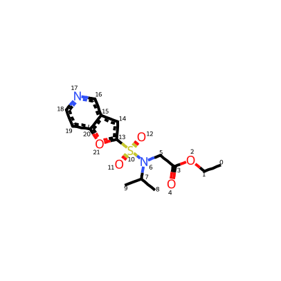 CCOC(=O)CN(C(C)C)S(=O)(=O)c1cc2cnccc2o1